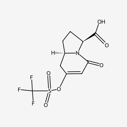 O=C(O)[C@@H]1CC[C@@H]2CC(OS(=O)(=O)C(F)(F)F)=CC(=O)N21